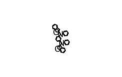 c1ccc(N(c2cccc(N(c3ccccc3)c3coc4ccccc34)c2)c2cc3ccccc3o2)cc1